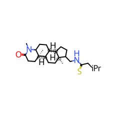 CC(C)CC(=S)NCC1CC[C@H]2[C@@H]3CCC4N(C)C(=O)CC[C@]4(C)[C@@H]3CC[C@]12C